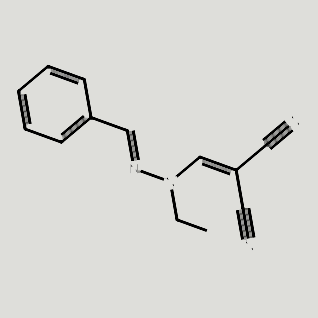 CCN(C=C(C#N)C#N)/N=C/c1ccccc1